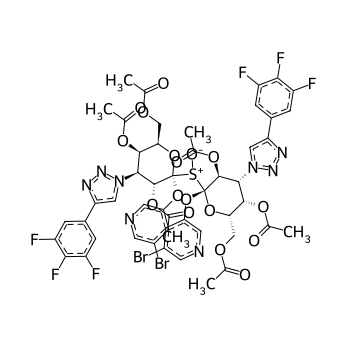 CC(=O)OC[C@@H]1O[C@](Oc2cncc(Br)c2)([S+]([O-])[C@]2(Oc3cncc(Br)c3)O[C@H](COC(C)=O)[C@H](OC(C)=O)[C@H](n3cc(-c4cc(F)c(F)c(F)c4)nn3)[C@H]2OC(C)=O)[C@@H](OC(C)=O)[C@H](n2cc(-c3cc(F)c(F)c(F)c3)nn2)[C@@H]1OC(C)=O